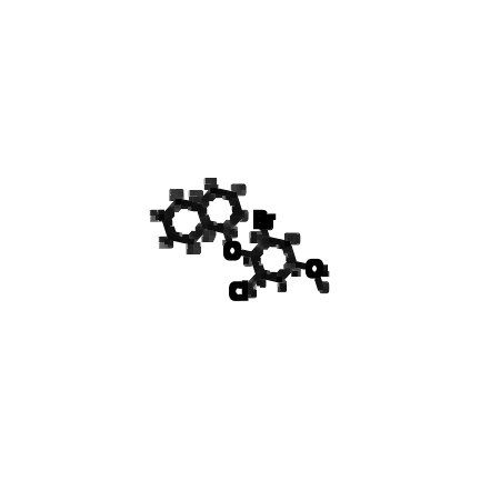 COc1cc(Cl)c(Oc2cccc3ccccc23)c(Br)c1